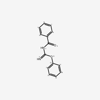 N=C(NC(=O)c1ccccc1)Oc1ccccc1